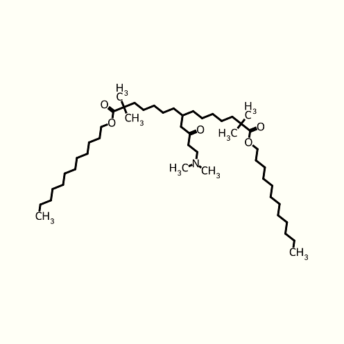 CCCCCCCCCCCCOC(=O)C(C)(C)CCCCCC(CCCCCC(C)(C)C(=O)OCCCCCCCCCCCC)CC(=O)CCN(C)C